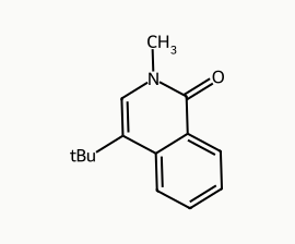 Cn1cc(C(C)(C)C)c2ccccc2c1=O